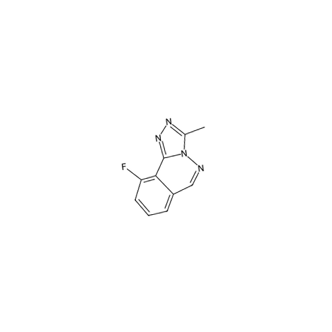 Cc1nnc2c3c(F)cccc3cnn12